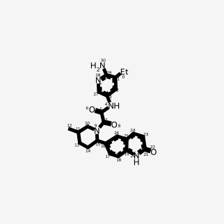 CCc1cc(NC(=O)C(=O)N2CC(C)CCC2c2ccc3[nH]c(=O)ccc3c2)cnc1N